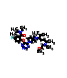 CCN(C(=O)c1cc(F)ccc1Oc1nncnc1N1CCC2(C1)CN(C(CCC(C)N(C)CCOC)C(C)C)C2)C(C)C